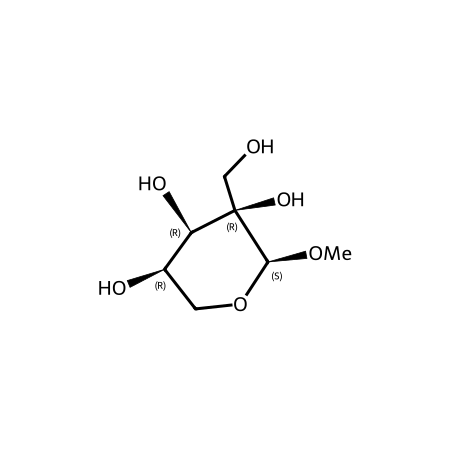 CO[C@H]1OC[C@@H](O)[C@@H](O)[C@]1(O)CO